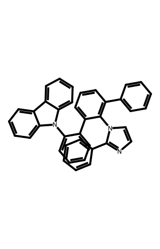 c1ccc(-c2cccc(-c3ccccc3-n3c4ccccc4c4ccccc43)c2-n2ccnc2-c2ccccc2)cc1